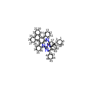 c1ccc(-c2cccc(-n3c4ccccc4c4c5c6ccccc6c6ccccc6c5c5c6ccccc6n(-c6nc(-c7ccccc7)c7ccccc7n6)c5c43)c2)cc1